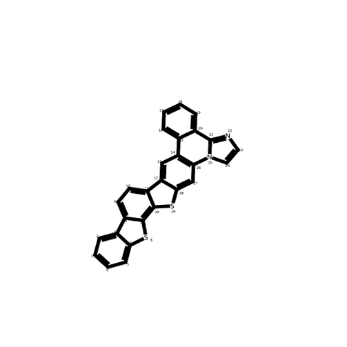 c1ccc2c(c1)sc1c2ccc2c3cc4c5ccccc5c5nccn5c4cc3sc21